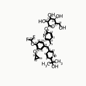 CC(C)(O)c1ccc([C@@H](Cc2ccc(O[C@@H]3OC(CO)[C@@H](O)C(O)[C@@H]3O)nc2)c2ccc(OC(F)F)c(OC3CC3)c2)cn1